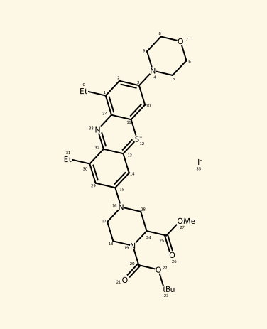 CCc1cc(N2CCOCC2)cc2[s+]c3cc(N4CCN(C(=O)OC(C)(C)C)C(C(=O)OC)C4)cc(CC)c3nc12.[I-]